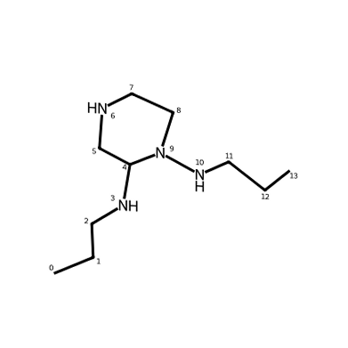 CCCNC1CNCCN1NCCC